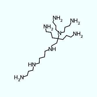 NCCCNCCCCNCCC(CCCN)(CCCN)N(CCCN)CCCN